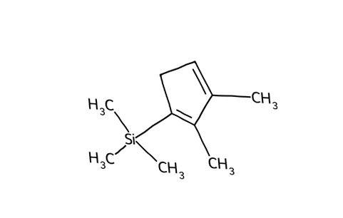 CC1=CCC([Si](C)(C)C)=C1C